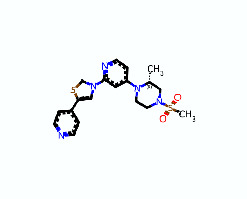 C[C@@H]1CN(S(C)(=O)=O)CCN1c1ccnc(N2C=C(c3ccncc3)SC2)c1